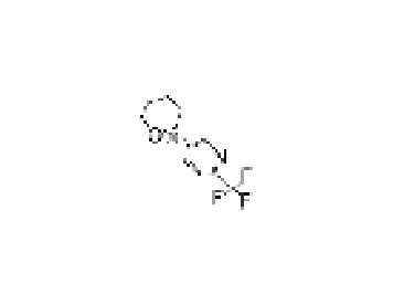 FC(F)(F)c1ccc([C@H]2CCCCO2)cn1